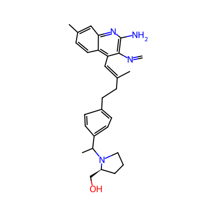 C=Nc1c(N)nc2cc(C)ccc2c1/C=C(\C)CCc1ccc(C(C)N2CCC[C@H]2CO)cc1